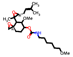 COCCCCCCNC(=O)OC1CC[C@]2(CO2)C(C2(C)O[C@@H]2CC=C(C)C)C1OC